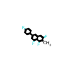 Cc1c(F)cc2cc(-c3ccc(F)cc3)cc(F)c2c1F